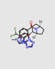 Cn1cnc2cc(C(=O)N3[C@H]4CC[C@H](c5cc(C(F)F)nc6ncnn56)[C@@H]3CC4)ccc21